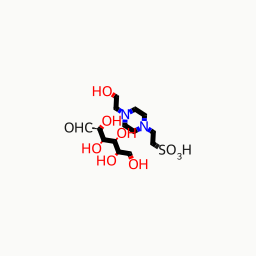 O=C[C@H](O)[C@@H](O)[C@H](O)[C@H](O)CO.O=S(=O)(O)CCN1CCN(CCO)CC1